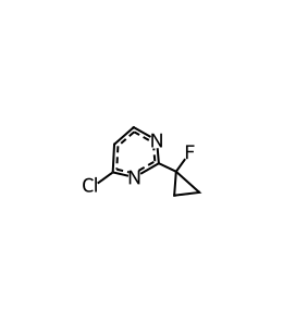 FC1(c2nccc(Cl)n2)CC1